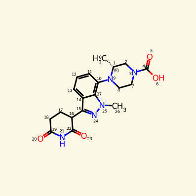 C[C@@H]1CN(C(=O)O)CCN1c1cccc2c(C3CCC(=O)NC3=O)nn(C)c12